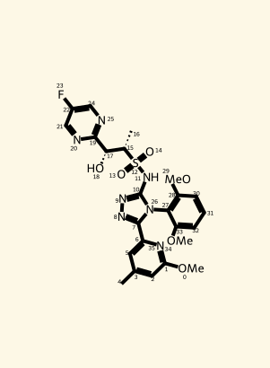 COc1cc(C)cc(-c2nnc(NS(=O)(=O)[C@@H](C)[C@H](O)c3ncc(F)cn3)n2-c2c(OC)cccc2OC)n1